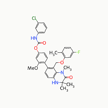 COc1cc(OC(=O)Nc2cccc(Cl)c2)ccc1-c1ccc2c(c1COc1cc(F)ccc1C)N(C)C(=O)C(C)(C)N2